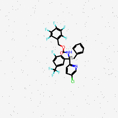 O=C(N[C@](Cc1ccccc1)(c1cc(F)cc(C(F)(F)F)c1)c1ccc(Cl)cn1)OCc1c(F)c(F)c(F)c(F)c1F